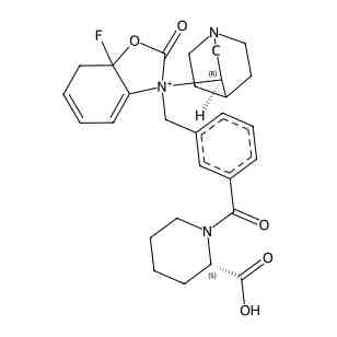 O=C(O)[C@@H]1CCCCN1C(=O)c1cccc(C[N+]2([C@H]3CN4CCC3CC4)C(=O)OC3(F)CC=CC=C32)c1